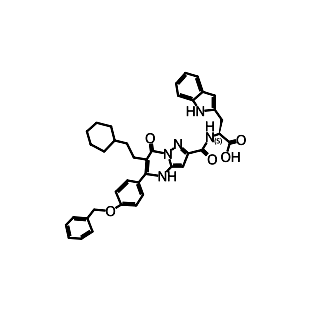 O=C(N[C@@H](Cc1cc2ccccc2[nH]1)C(=O)O)c1cc2[nH]c(-c3ccc(OCc4ccccc4)cc3)c(CCC3CCCCC3)c(=O)n2n1